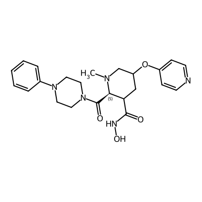 CN1CC(Oc2ccncc2)CC(C(=O)NO)[C@H]1C(=O)N1CCN(c2ccccc2)CC1